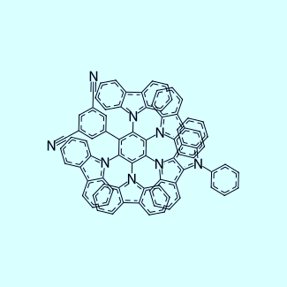 N#Cc1cc(C#N)cc(-c2c(-n3c4ccccc4c4ccccc43)c(-n3c4ccccc4c4ccccc43)c(-n3c4ccccc4c4c3c3ccccc3n4-c3ccccc3)c(-n3c4ccccc4c4ccccc43)c2-n2c3ccccc3c3ccccc32)c1